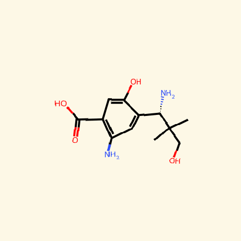 CC(C)(CO)[C@@H](N)c1cc(N)c(C(=O)O)cc1O